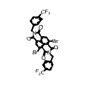 O=C1c2cc(Br)c3c4c(c(Br)cc(c24)C(=O)N1Cc1ccc(C(F)(F)F)cc1)C(=O)N(Cc1ccc(C(F)(F)F)cc1)C3=O